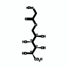 CCCCCCCCCCCC(=O)OC[C@@H](O)[C@@H](O)[C@H](O)[C@@H](O)C(=O)O